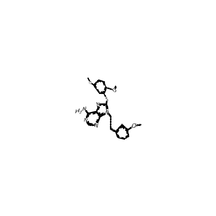 COc1cccc(CCn2c(Sc3cc(OC)ccc3OC)nc3c(N)ncnc32)c1